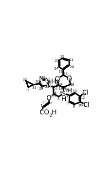 O=C(O)/C=C/O[C@H]1C[SH](c2ccc(Cl)c(Cl)c2)[C@@H]2COC(c3ccccc3)O[C@@H]2[C@H]1n1cc(C2CC2)nn1